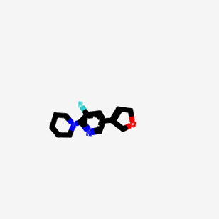 Fc1cc(C2=CCOC2)cnc1N1CCCCC1